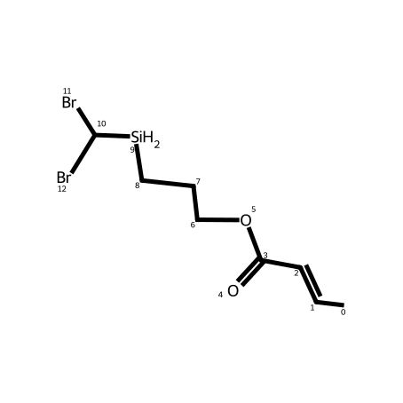 CC=CC(=O)OCCC[SiH2]C(Br)Br